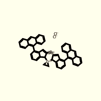 CC(C)(C)C1=Cc2c(-c3c4ccccc4cc4ccccc34)cccc2[CH]1[Zr+2]1([CH]2C(C(C)(C)C)=Cc3c(-c4c5ccccc5cc5ccccc45)cccc32)[CH2][CH2]1.[Cl-].[Cl-]